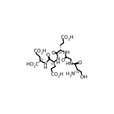 N[C@@H](CO)C(=O)NCC(=O)N[C@@H](CCC(=O)O)C(=O)N[C@@H](CCC(=O)O)C(=O)N[C@@H](CCC(=O)O)C(=O)O